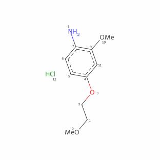 COCCOc1ccc(N)c(OC)c1.Cl